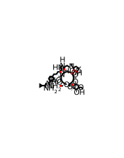 CC[C@H]1OC(=O)[C@H](C)[C@@H](O[C@H]2C[C@@](C)(OC)[C@@H](O)[C@H](C)O2)[C@H](C)[C@@H](O[C@@H]2O[C@H](C)C[C@H](N(C)CCC3=CN(CCCCc4ccc(N(N)/C=C(\N)C5CC5)cc4)NN3)[C@H]2O)[C@](C)(O)C[C@@H](C)CN(C)[C@H](C)[C@@H](O)[C@]1(C)O